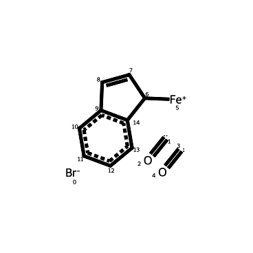 [Br-].[C]=O.[C]=O.[Fe+][CH]1C=Cc2ccccc21